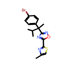 Cc1csc(-c2nc(C(C)(c3ccc(Br)cc3)C(C)C)no2)n1